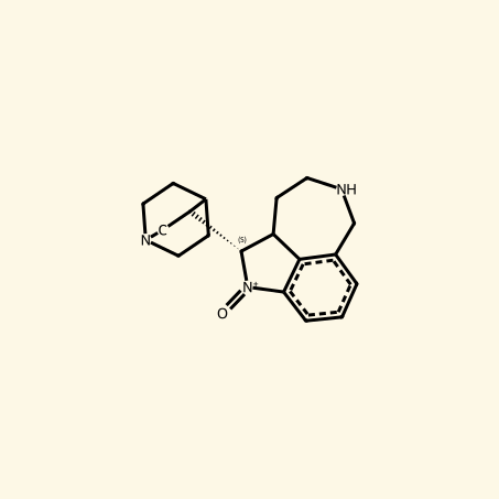 O=[N+]1c2cccc3c2C(CCNC3)[C@H]1C1CN2CCC1CC2